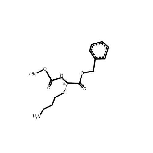 CCCCOC(=O)N[C@@H](CCCCN)C(=O)OCc1ccccc1